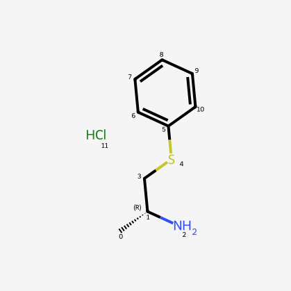 C[C@@H](N)CSc1ccccc1.Cl